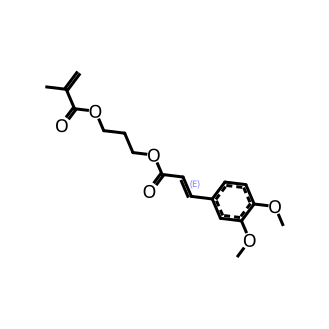 C=C(C)C(=O)OCCCOC(=O)/C=C/c1ccc(OC)c(OC)c1